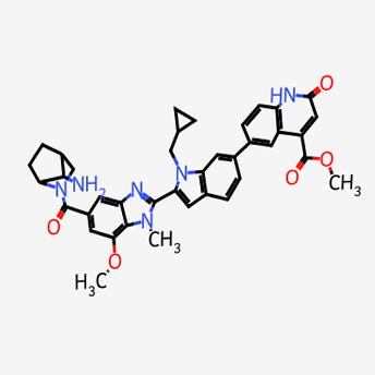 COC(=O)c1cc(=O)[nH]c2ccc(-c3ccc4cc(-c5nc6cc(C(=O)N7CC8CCC7C8N)cc(OC)c6n5C)n(CC5CC5)c4c3)cc12